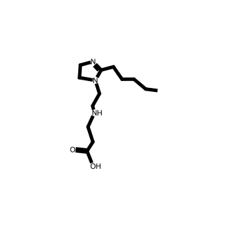 CCCCCC1=NCCN1CCNCCC(=O)O